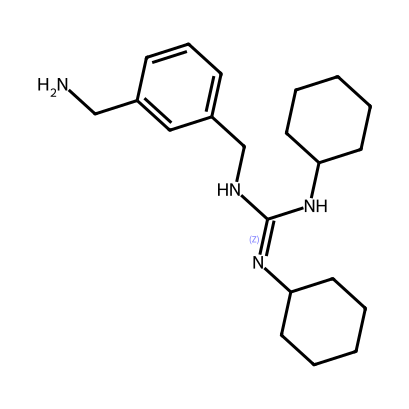 NCc1cccc(CN/C(=N/C2CCCCC2)NC2CCCCC2)c1